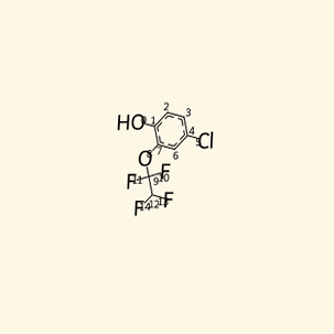 Oc1ccc(Cl)cc1OC(F)(F)C(F)F